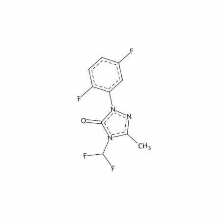 Cc1nn(-c2cc(F)ccc2F)c(=O)n1C(F)F